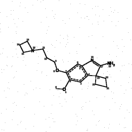 COc1cc2c(cc1OCCCN1CCC1)N=C(N)C21CCC1